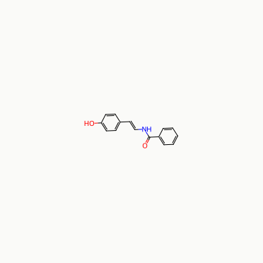 O=C(NC=Cc1ccc(O)cc1)c1ccccc1